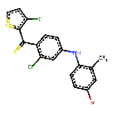 FC(F)(F)c1cc(Br)ccc1Nc1ccc(C(=S)c2sccc2Cl)c(Cl)c1